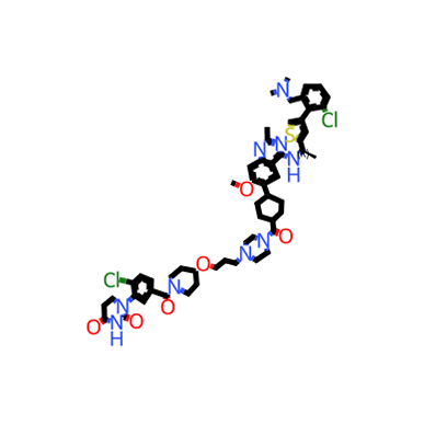 COc1cc2nc(C)nc(N[C@H](C)c3cc(-c4c(Cl)cccc4CN(C)C)cs3)c2cc1C1CCC(C(=O)N2CCN(CCCOC3CCN(C(=O)c4ccc(Cl)c(N5CCC(=O)NC5=O)c4)CC3)CC2)CC1